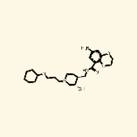 Nc1cc2c(c(C(=O)NC[C@@H]3CCN(CCCOC4CCCCC4)C[C@H]3O)c1)OCCO2